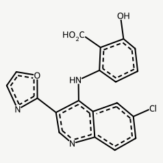 O=C(O)c1c(O)cccc1Nc1c(-c2ncco2)cnc2ccc(Cl)cc12